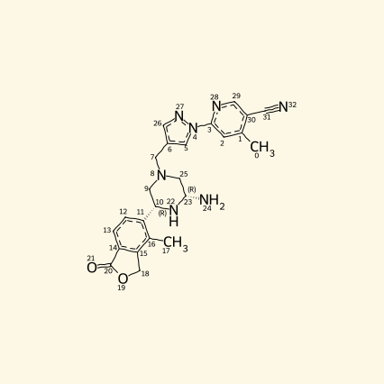 Cc1cc(-n2cc(CN3C[C@@H](c4ccc5c(c4C)COC5=O)N[C@@H](N)C3)cn2)ncc1C#N